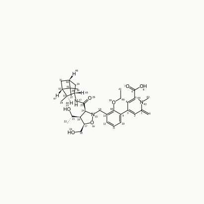 C=C(/C=C(\C=C\C(=O)O)c1cccc(CN2O[C@@H](CO)[C@@H]([C@H](C)O)[C@H]2C(=O)N[C@H]2C[C@H]3C[C@@H]([C@@H]2C)C3(C)C)c1OCC)N(C)C